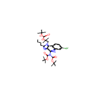 CCCCc1nc2c(N(C(=O)OC(C)(C)C)C(=O)OC(C)(C)C)nc3cc(Br)ccc3c2n1CC(C)(C)OC(=O)OC(C)(C)C